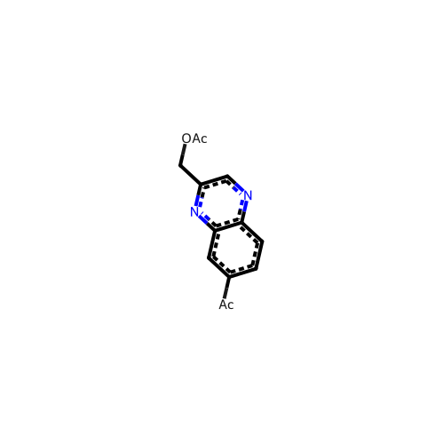 CC(=O)OCc1cnc2ccc(C(C)=O)cc2n1